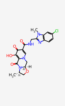 C[C@H]1CO[C@@H]2Cn3cc(C(=O)NCc4nc5ccc(Cl)cc5n4C)c(=O)c(O)c3C(=O)N12